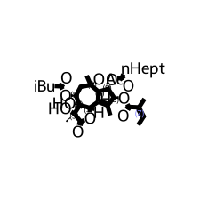 C/C=C(/C)C(=O)O[C@H]1C(C)=C2[C@H]([C@@H]1OC(=O)CCCCCCC)[C@@](C)(OC(C)=O)C[C@H](OC(=O)C(C)CC)[C@@]1(O)[C@H]2OC(=O)[C@@]1(C)O